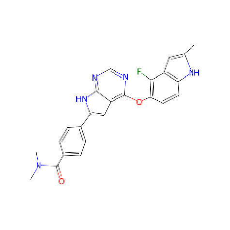 Cc1cc2c(F)c(Oc3ncnc4[nH]c(-c5ccc(C(=O)N(C)C)cc5)cc34)ccc2[nH]1